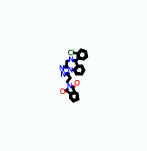 O=C1c2ccccc2C(=O)N1CCc1nnc2n1-c1ccccc1C(c1ccccc1Cl)=NC2